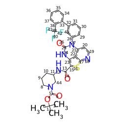 CC(C)(C)OC(=O)N1CCCC(NC(=O)c2sc3nccc4c3c2NC(=O)N4c2cccc(-c3ccccc3C(F)(F)F)c2)C1